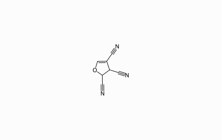 N#CC1=COC(C#N)C1C#N